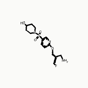 NC/C(=C\F)COc1ccc(S(=O)(=O)N2CCC(O)CC2)cn1